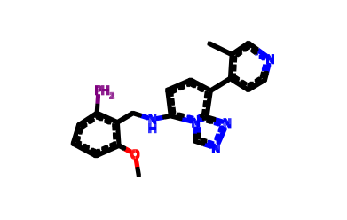 COc1cccc(P)c1CNc1ccc(-c2ccncc2C)c2nncn12